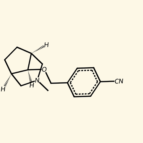 CN1C[C@H]2CC[C@@H](C1)[C@H]2OCc1ccc(C#N)cc1